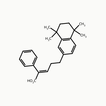 CC1(C)CCC(C)(C)c2cc(CC/C=C(/C(=O)O)c3ccccc3)ccc21